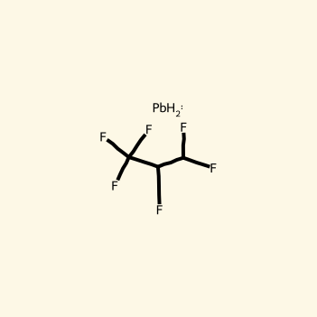 FC(F)C(F)C(F)(F)F.[PbH2]